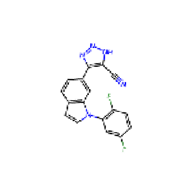 N#Cc1[nH]nnc1-c1ccc2ccn(-c3cc(F)ccc3F)c2c1